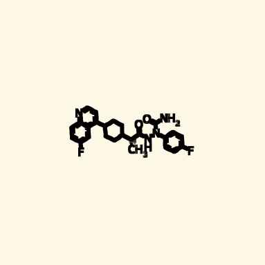 C[C@@H](C(=O)NN(C(N)=O)c1ccc(F)cc1)C1CCC(c2ccnc3ccc(F)cc23)CC1